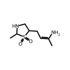 C/C(N)=C/CC1CNC(C)S1(=O)=O